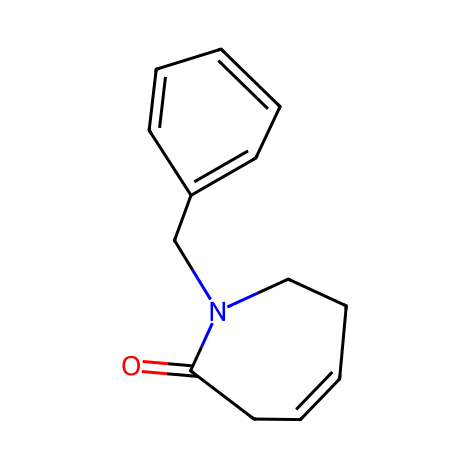 O=C1CC=CCCN1Cc1ccccc1